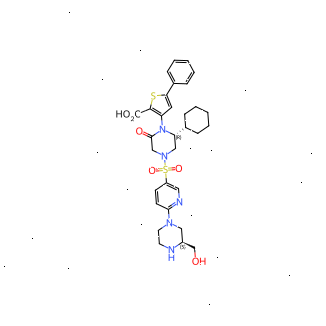 O=C(O)c1sc(-c2ccccc2)cc1N1C(=O)CN(S(=O)(=O)c2ccc(N3CCN[C@H](CO)C3)nc2)C[C@H]1C1CCCCC1